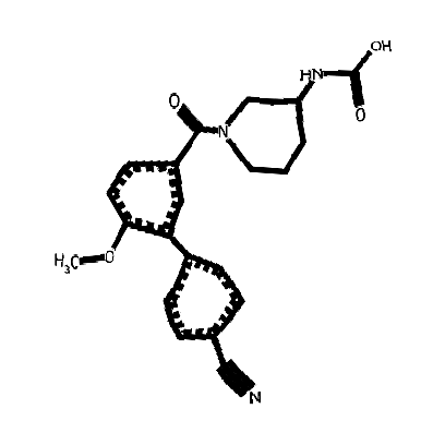 COc1ccc(C(=O)N2CCCC(NC(=O)O)C2)cc1-c1ccc(C#N)cc1